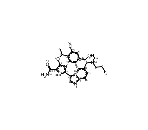 CC(Oc1nc(-c2cnc3ccc(CN(C)CCF)cn23)sc1C(N)=O)c1ccc(CO)cc1Cl